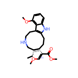 CC[C@@H]1CNCCc2c([nH]c3cccc(OC)c23)CC[C@@H]1/C(=C\OC)C(=O)OC